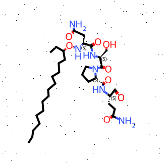 CCCCCCCCCCCCCCC(CC)ON[C@@H](CC(N)=O)C(=O)N[C@@H](CO)C(=O)N1CCC[C@H]1C(=O)N[C@H](C=O)CCC(N)=O